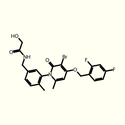 Cc1ccc(CNC(=O)CO)cc1-n1c(C)cc(OCc2ccc(F)cc2F)c(Br)c1=O